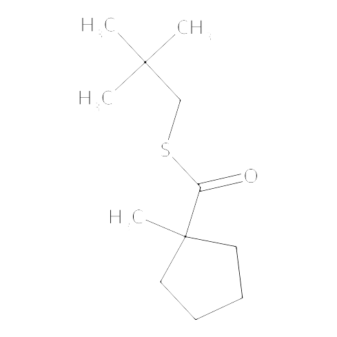 CC(C)(C)CSC(=O)C1(C)CCCC1